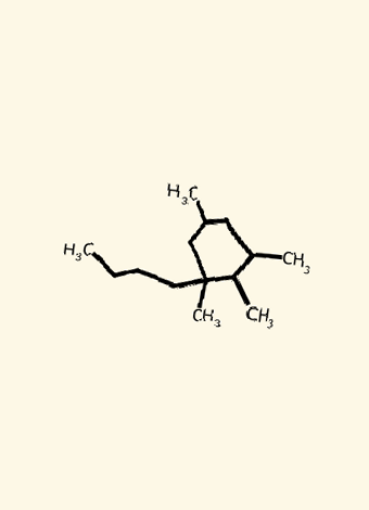 CCCCC1(C)CC(C)CC(C)C1C